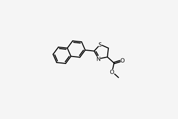 COC(=O)C1CSC(c2ccc3ccccc3c2)=N1